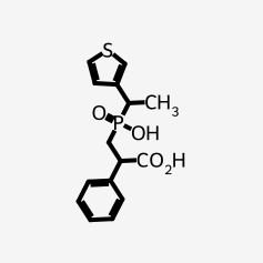 CC(c1ccsc1)P(=O)(O)CC(C(=O)O)c1ccccc1